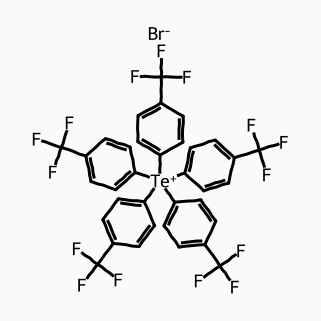 FC(F)(F)c1ccc([Te+](c2ccc(C(F)(F)F)cc2)(c2ccc(C(F)(F)F)cc2)(c2ccc(C(F)(F)F)cc2)c2ccc(C(F)(F)F)cc2)cc1.[Br-]